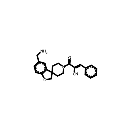 N#C/C(=C\c1ccccc1)C(=O)N1CCC2(CC1)COc1ccc(CN)cc12